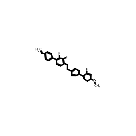 C=Cc1ccc(-c2ccc(CCc3ccc(C4=CCC(OC)C=C4F)cc3)c(F)c2F)cc1